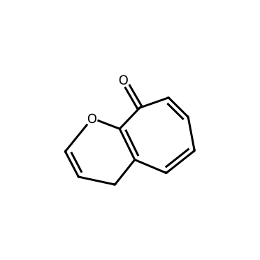 O=c1ccccc2c1OC=CC2